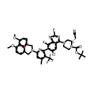 COc1ccc(CN(Cc2ccc(OC)cc2)c2cc(C)c(C(F)(F)F)c(-c3c(Cl)cc4c(N5CCN(C(=O)OC(C)(C)C)[C@@H](CC#N)C5)nc(F)nc4c3F)n2)cc1